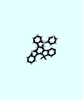 CC1(C)c2ccccc2-c2c1c1c3ccccc3oc1c1c3ccccc3n(-c3cccnc3)c21